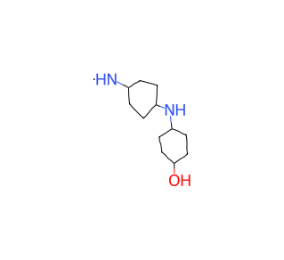 [NH]C1CCC(NC2CCC(O)CC2)CC1